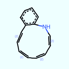 C1=C\C=C/Nc2ccccc2/C=C\C=C/1